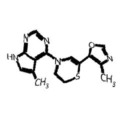 Cc1ncoc1C1=CN(c2ncnc3[nH]cc(C)c23)CCS1